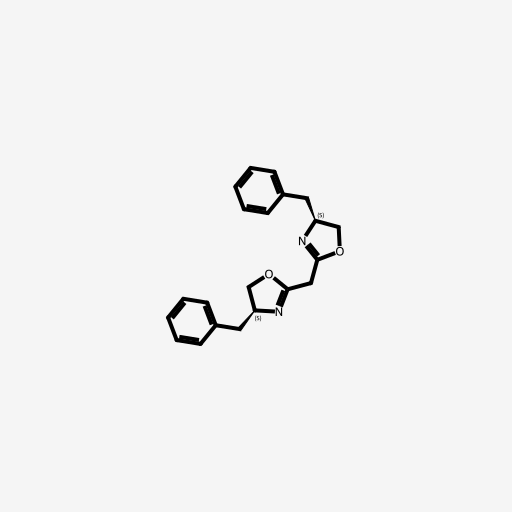 c1ccc(C[C@H]2COC(CC3=N[C@@H](Cc4ccccc4)CO3)=N2)cc1